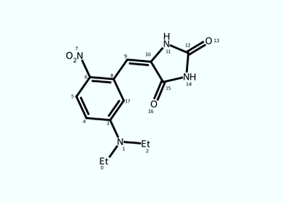 CCN(CC)c1ccc([N+](=O)[O-])c(/C=C2/NC(=O)NC2=O)c1